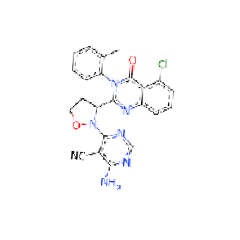 Cc1ccccc1-n1c(C2CCON2c2ncnc(N)c2C#N)nc2cccc(Cl)c2c1=O